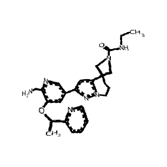 CCNC(=O)N1CC2(CCn3nc(-c4cnc(N)c(OC(C)c5ccccn5)c4)cc32)C1